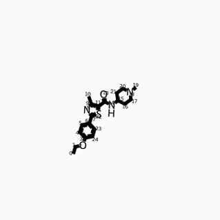 CCOc1ccc(-c2nc(C)c(C(=O)NC3CCN(C)CC3)s2)cc1